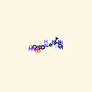 Cn1nc2cncc(F)c2c1-c1cn([C@H]2C[C@H](CNc3ccc4c(c3)CN(C3CCC(=O)NC3=O)C4=O)C2)nc1C1CC1